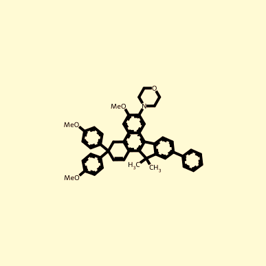 COc1ccc(C2(c3ccc(OC)cc3)C=Cc3c4c(c5cc(N6CCOCC6)c(OC)cc5c3C2)-c2ccc(-c3ccccc3)cc2C4(C)C)cc1